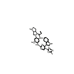 C=CC(=O)Nc1cc(Nc2ncc(-c3nnc(C)o3)c(-c3cn(C)c4ccccc34)n2)c(OC)cc1N1CC2CCN(C)C2C1